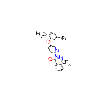 Cc1ccc(C(C)C)cc1Oc1ccc(NC(=O)c2ccccc2C(F)(F)F)nc1